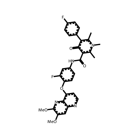 COc1cc2nccc(Oc3ccc(NC(=O)c4c(C)n(C)c(C)c(-c5ccc(F)cc5)c4=O)cc3F)c2nc1OC